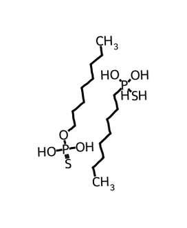 CCCCCCCCOP(O)(O)=S.CCCCCCCC[PH](O)(O)S